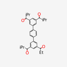 CCC(=O)c1cc(C(=O)C(C)C)cc(-c2ccc(-c3cc(C(=O)C(C)C)cc(C(=O)C(C)C)c3)cc2)c1